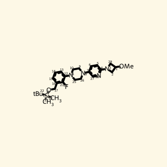 COC1CN(c2ccc(N3CCN(c4cccc(CO[Si](C)(C)C(C)(C)C)c4F)CC3)cn2)C1